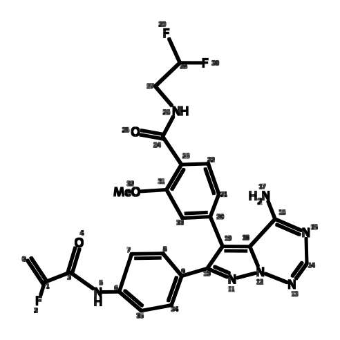 C=C(F)C(=O)Nc1ccc(-c2nn3ncnc(N)c3c2-c2ccc(C(=O)NCC(F)F)c(OC)c2)cc1